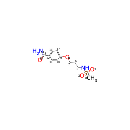 CS(=O)(=O)NCCCOc1ccc(C(N)=O)cc1